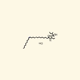 CCCCCCCC/C=C\CCCCCCCCCCCC(=O)NC(CC)NC(C)(O)C(C)CC.Cl